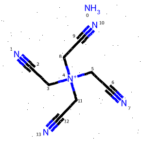 N.N#CC[N+](CC#N)(CC#N)CC#N